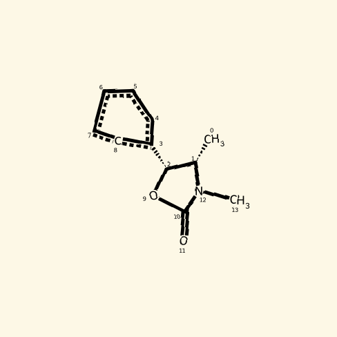 C[C@H]1[C@@H](c2ccccc2)OC(=O)N1C